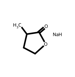 CC1CCOC1=O.[NaH]